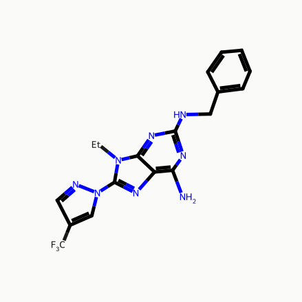 CCn1c(-n2cc(C(F)(F)F)cn2)nc2c(N)nc(NCc3ccccc3)nc21